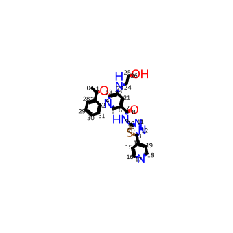 CC(Oc1ncc(C(=O)Nc2nnc(-c3ccncc3)s2)cc1NCCO)c1ccccc1